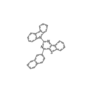 c1ccc2cc(-c3nc(-n4c5ccccc5c5ccccc54)nc4c3sc3ccccc34)ccc2c1